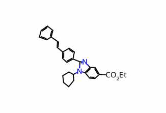 CCOC(=O)c1ccc2c(c1)nc(-c1ccc(C=Cc3ccccc3)cc1)n2C1CCCCC1